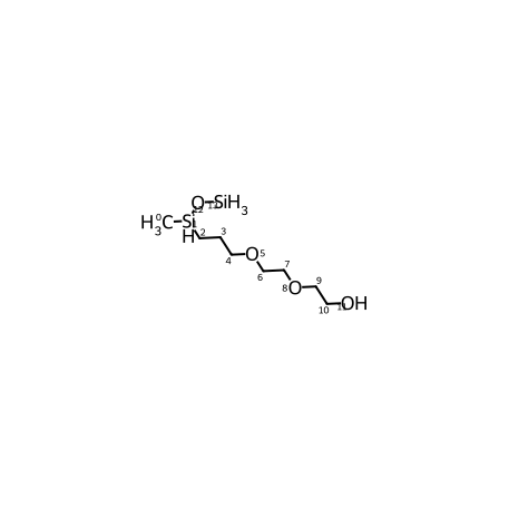 C[SiH](CCCOCCOCCO)O[SiH3]